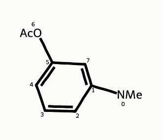 CNc1cccc(OC(C)=O)c1